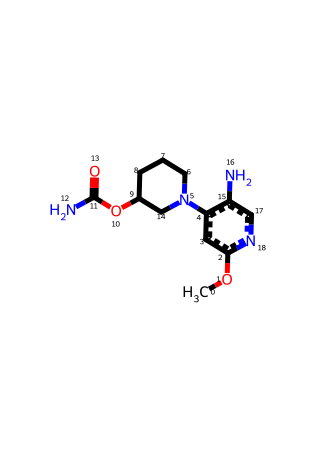 COc1cc(N2CCCC(OC(N)=O)C2)c(N)cn1